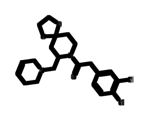 O=C(Cc1ccc(Cl)c(Cl)c1)N1CCC2(CC1CN1CC=CCC1)OCCO2